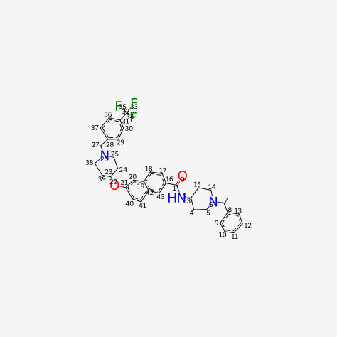 O=C(NC1CCN(Cc2ccccc2)CC1)c1ccc2cc(OC3CCN(Cc4ccc(C(F)(F)F)cc4)CC3)ccc2c1